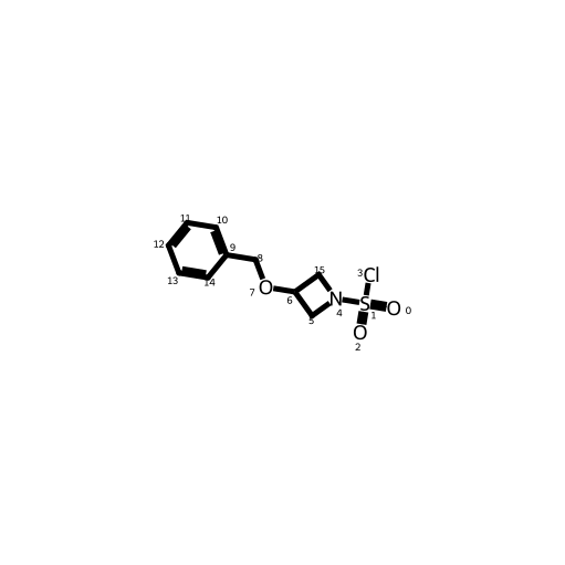 O=S(=O)(Cl)N1CC(OCc2ccccc2)C1